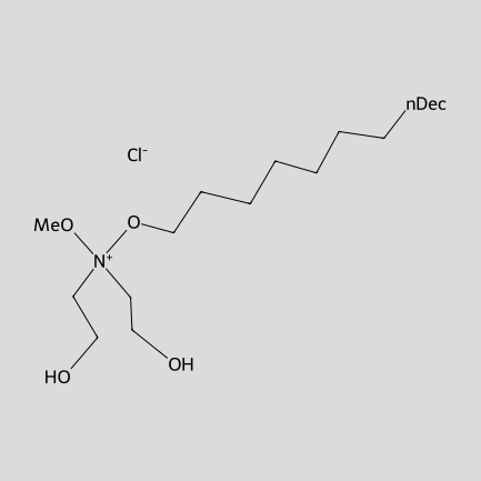 CCCCCCCCCCCCCCCCCO[N+](CCO)(CCO)OC.[Cl-]